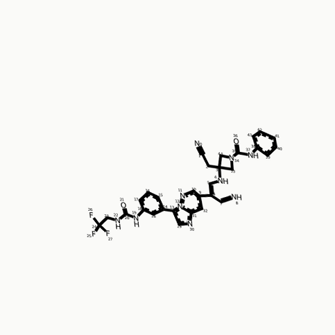 N#CCC1(N/C=C(\C=N)c2cnn3c(-c4cccc(NC(=O)NCC(F)(F)F)c4)cnc3c2)CN(C(=O)Nc2ccccc2)C1